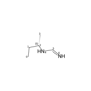 CC[C@H](C)NC=N